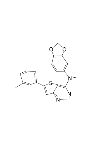 Cc1cccc(-c2cc3ncnc(N(C)c4ccc5c(c4)OCO5)c3s2)c1